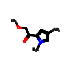 Cn1cc([N+](=O)[O-])cc1C(=O)COC(C)(C)C